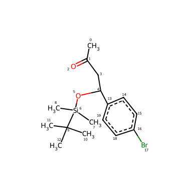 CC(=O)CC(O[Si](C)(C)C(C)(C)C)c1ccc(Br)cc1